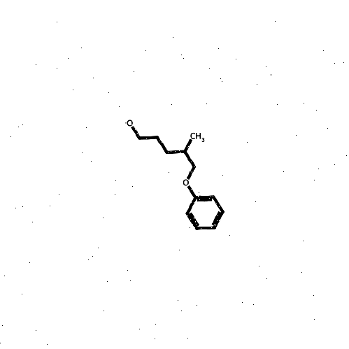 CC(CCC[O])COc1ccccc1